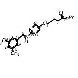 CCCC(=O)CCCOc1cnc(NCc2cc(C(F)(F)F)cc(C(F)(F)F)c2)nc1